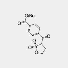 CC(C)COC(=O)c1ccc(C(=O)C2CCOS2(=O)=O)cc1